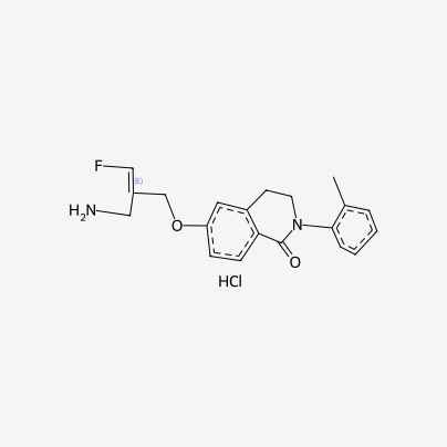 Cc1ccccc1N1CCc2cc(OC/C(=C/F)CN)ccc2C1=O.Cl